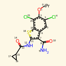 CC(C)Oc1c(Cl)cc2c(C(N)=O)c(NC(=O)C3CC3)sc2c1Cl